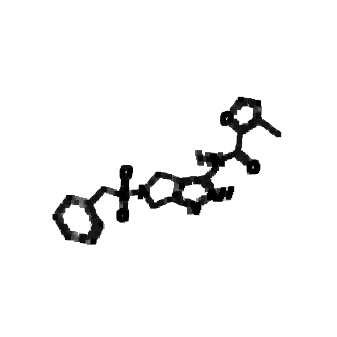 Cc1ccoc1C(=O)Nc1[nH]nc2c1CN(S(=O)(=O)Cc1ccccc1)C2